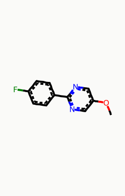 COc1cnc(-c2ccc(F)cc2)nc1